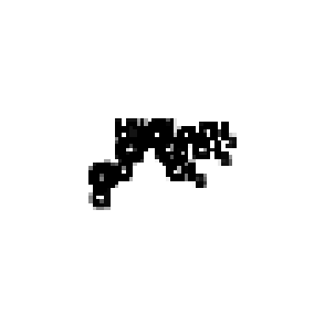 COCc1c(C(=O)OC(C)C)ncc2[nH]c3ccc(Oc4cccc(Cl)c4)cc3c12